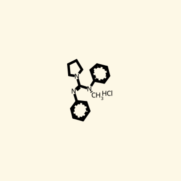 CN(C(=Nc1ccccc1)N1CCCC1)c1ccccc1.Cl